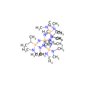 CC(C)P(=NP(=NC(C)(C)C)(N=P(N(C)C)(N(C)C)N(C)C)N=P(N(C)C)(N(C)C)N(C)C)(N(C)C)N(C)C